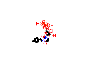 Cc1ccc(CCn2c(=O)ccn([C@@H]3O[C@H](COP(=O)(O)OP(=O)(O)O)C(O)[C@@H]3O)c2=O)cc1